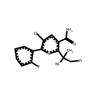 CC(C)CC(C)(C#N)c1nc(-c2ccccc2F)c(Cl)cc1C(N)=O